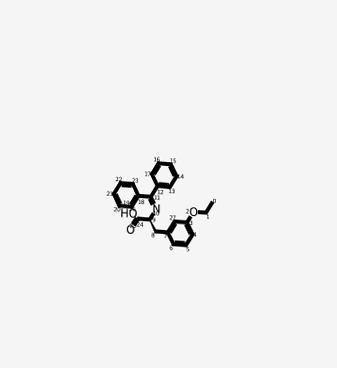 CCOc1cccc(C[C@H](N=C(c2ccccc2)c2ccccc2)C(=O)O)c1